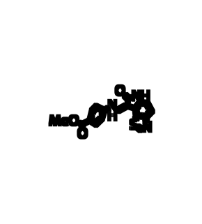 COC(=O)c1ccc(N/C=C2\C(=O)Nc3ccc4ncsc4c32)cc1